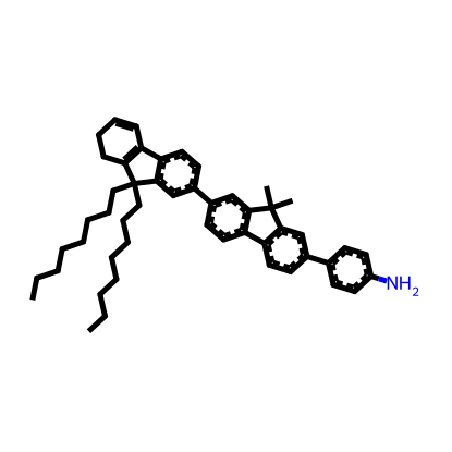 CCCCCCCCC1(CCCCCCCC)C2=C(C=CCC2)c2ccc(-c3ccc4c(c3)C(C)(C)c3cc(-c5ccc(N)cc5)ccc3-4)cc21